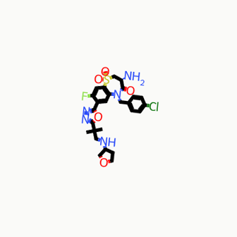 CC(C)(CNC1CCOC1)c1nnc(-c2cc3c(cc2F)S(=O)(=O)C[C@H](N)C(=O)N3Cc2ccc(Cl)cc2)o1